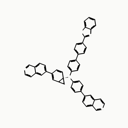 C1=C[C@]2(N(c3ccc(-c4ccc(-c5nc6ccccc6o5)cc4)cc3)c3ccc(-c4ccc5cnccc5c4)cc3)CC2C=C1c1ccc2cnccc2c1